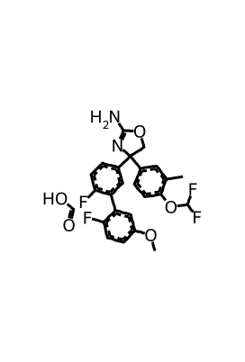 COc1ccc(F)c(-c2cc(C3(c4ccc(OC(F)F)c(C)c4)COC(N)=N3)ccc2F)c1.O=CO